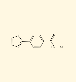 O=C(NO)c1ccc(-c2cccs2)cc1